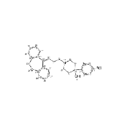 OC1(c2ccc(Cl)cc2)CCN(CC/C=C2/c3ccccc3COc3ccccc32)CC1